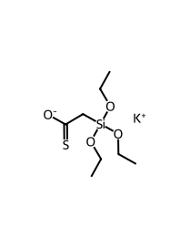 CCO[Si](CC([O-])=S)(OCC)OCC.[K+]